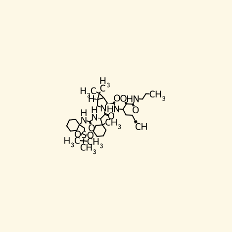 C#CCCC(NC(=O)[C@@H]1C2[C@H](CN1C(=O)[C@@H](NC(=O)NC1(CS(=O)(=O)C(C)(C)C)CCCCC1)C1(C)CCCCC1)C2(C)C)C(=O)C(=O)NCCC